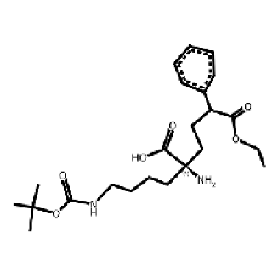 CCOC(=O)C(CC[C@](N)(CCCCNC(=O)OC(C)(C)C)C(=O)O)c1ccccc1